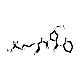 CC[C@H]1C[C@@H](C(=O)N[C@H](C=O)CCCNC(=N)N)N(C(=O)[C@H]2CCCCN2)C1